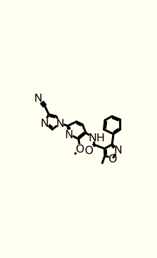 COc1nc(-n2cnc(C#N)c2)ccc1NC(=O)c1c(-c2ccccc2)noc1C